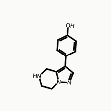 Oc1ccc(-c2cnn3c2CNCC3)cc1